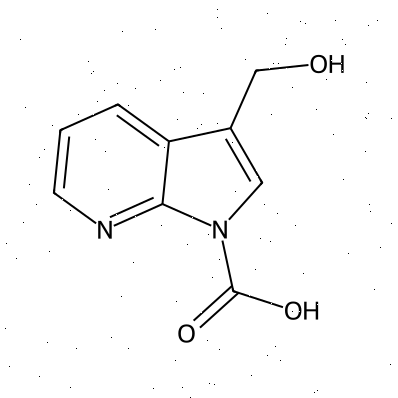 O=C(O)n1cc(CO)c2cccnc21